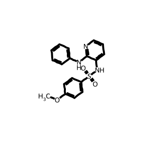 COc1ccc(S(=O)(=O)Nc2cccnc2Nc2ccccc2)cc1